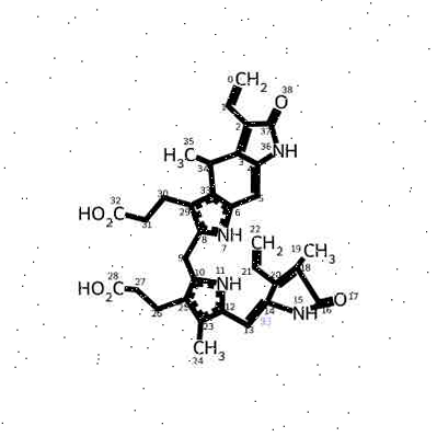 C=CC1=C2C(=Cc3[nH]c(Cc4[nH]c(/C=C5/NC(=O)C(C)=C5C=C)c(C)c4CCC(=O)O)c(CCC(=O)O)c3C2C)NC1=O